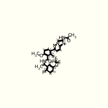 COc1ccc(-c2ccc3nc(NC(C)=O)cn3n2)c(F)c1C(=O)N[C@@H](C)c1cc(OC(F)(F)F)ccc1F